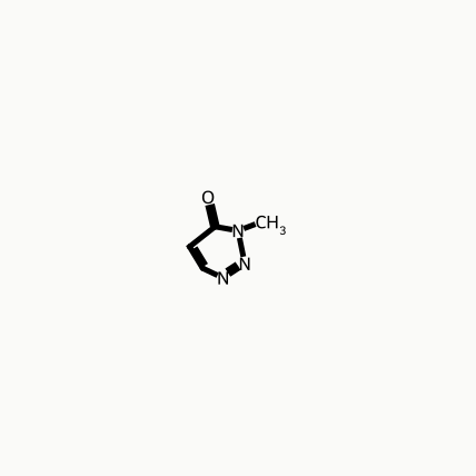 Cn1nnccc1=O